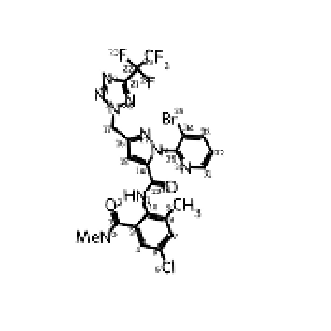 CNC(=O)c1cc(Cl)cc(C)c1NC(=O)c1cc(Cn2nnc(C(F)(F)C(F)(F)F)n2)nn1-c1ncccc1Br